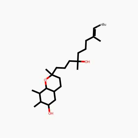 CCCC/C=C(\C)CCCC(C)(O)CCCC1(C)CCC2CC(O)C(C)C(C)C2O1